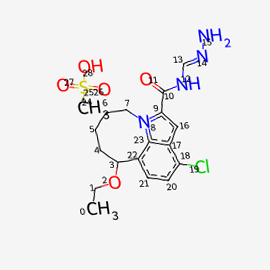 CCOC1CCCCn2c(C(=O)NC=NN)cc3c(Cl)ccc1c32.CS(=O)(=O)O